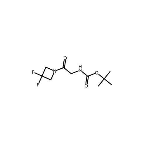 CC(C)(C)OC(=O)NCC(=O)N1CC(F)(F)C1